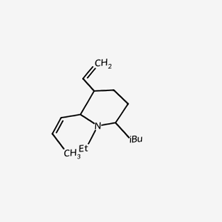 C=CC1CCC(C(C)CC)N(CC)C1/C=C\C